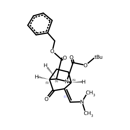 CN(C)/C=C1/C(=O)[C@H]2CC[C@@H]1N(C(=O)OC(C)(C)C)[C@@H]2C(=O)OCc1ccccc1